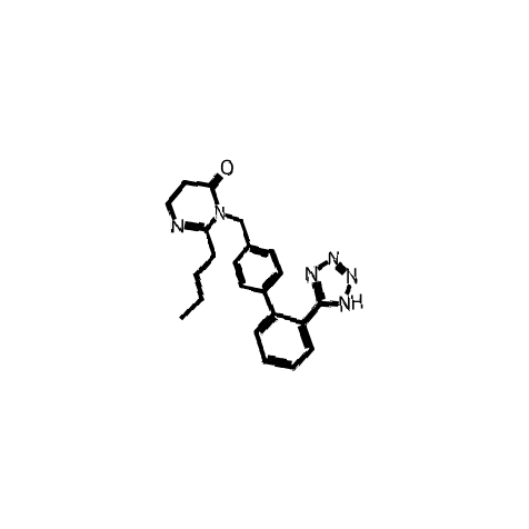 CCCCC1=NCCC(=O)N1Cc1ccc(-c2ccccc2-c2nnn[nH]2)cc1